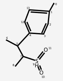 [CH2]c1ccc(C(C)C(C)[SH](=O)=O)cc1